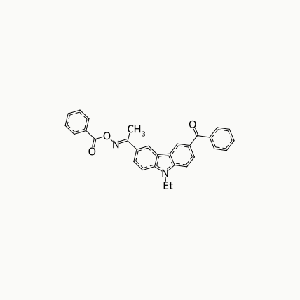 CCn1c2ccc(C(=O)c3ccccc3)cc2c2cc(/C(C)=N/OC(=O)c3ccccc3)ccc21